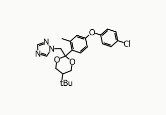 Cc1cc(Oc2ccc(Cl)cc2)ccc1C1(Cn2cncn2)OCC(C(C)(C)C)CO1